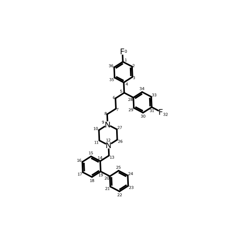 Fc1ccc(C(CCCN2CCN(Cc3ccccc3-c3ccccc3)CC2)c2ccc(F)cc2)cc1